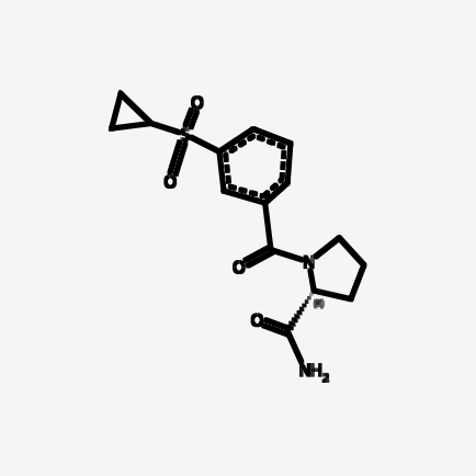 NC(=O)[C@H]1CCCN1C(=O)c1cccc(S(=O)(=O)C2CC2)c1